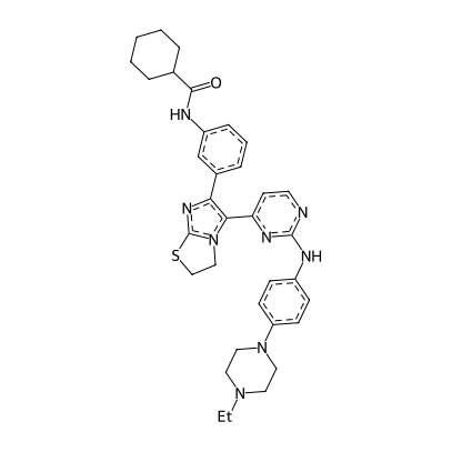 CCN1CCN(c2ccc(Nc3nccc(-c4c(-c5cccc(NC(=O)C6CCCCC6)c5)nc5n4CCS5)n3)cc2)CC1